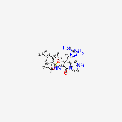 CC(C)c1cc(C(C)C)c(S(=O)(=O)NC(CCCNC(=N)N)C(=O)N2CCNCC2)c(C(C)C)c1